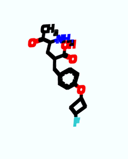 CC(=O)C(N)CC(Cc1ccc(OC2CC(F)C2)cc1)C(=O)O